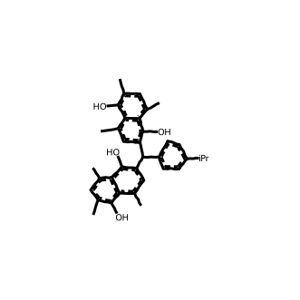 Cc1cc(C)c2c(O)c(C(c3ccc(C(C)C)cc3)c3cc(C)c4c(O)c(C)cc(C)c4c3O)cc(C)c2c1O